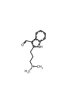 CN(C)CCCc1[nH]c2ccccc2c1C=O